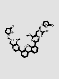 COc1nc(-c2cccc(-c3cccc(-c4cnc(CN(C[C@@H]5CCC(=O)N5)C(=O)O)c(OC)n4)c3Cl)c2Cl)cnc1CNC[C@@H]1CCC(=O)N1